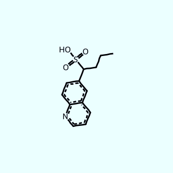 CCCC(c1ccc2ncccc2c1)S(=O)(=O)O